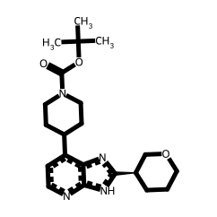 CC(C)(C)OC(=O)N1CCC(c2ccnc3[nH]c([C@@H]4CCCOC4)nc23)CC1